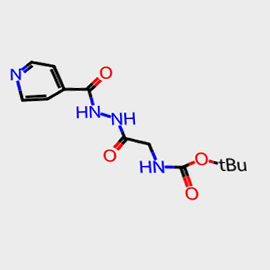 CC(C)(C)OC(=O)NCC(=O)NNC(=O)c1ccncc1